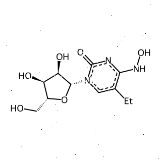 CCc1cn([C@@H]2O[C@H](CO)[C@@H](O)[C@H]2O)c(=O)nc1NO